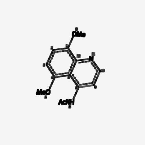 COc1ccc(OC)c2c(NC(C)=O)ccnc12